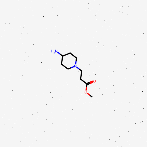 COC(=O)CCN1CCC(N)CC1